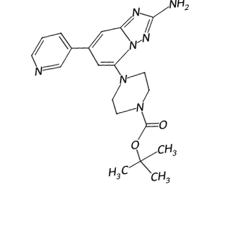 CC(C)(C)OC(=O)N1CCN(c2cc(-c3cccnc3)cc3nc(N)nn23)CC1